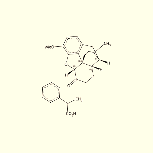 CC(C(=O)O)c1ccccc1.COc1ccc2c3c1O[C@H]1C(=O)CC[C@H]4[C@@H](C2)N(C)CC[C@]314